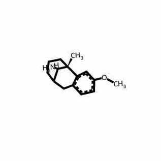 COc1ccc2c(c1)[C@@]1(C)CCCC(C2)[C@H]1N